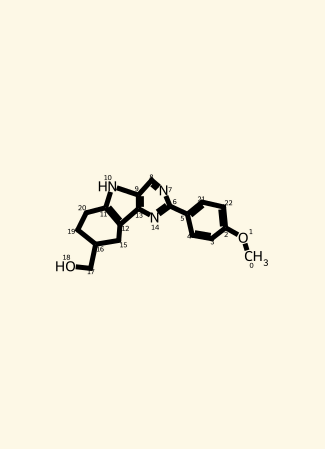 COc1ccc(-c2ncc3[nH]c4c(c3n2)CC(CO)CC4)cc1